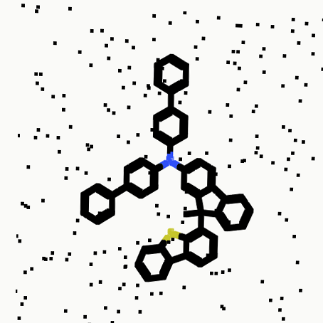 CC1(c2cccc3c2sc2ccccc23)c2ccccc2-c2ccc(N(c3ccc(-c4ccccc4)cc3)c3ccc(-c4ccccc4)cc3)cc21